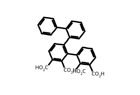 O=C(O)c1cccc(-c2c(-c3ccccc3-c3ccccc3)ccc(C(=O)O)c2C(=O)O)c1C(=O)O